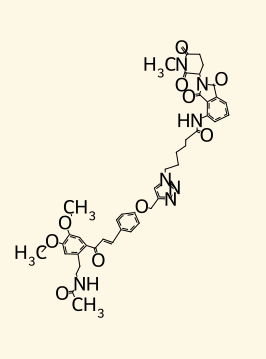 CCOc1cc(C(=O)/C=C/c2ccc(OCc3cn(CCCCCC(=O)Nc4cccc5c4C(=O)N(C4CCC(=O)N(C)C4=O)C5=O)nn3)cc2)c(CCNC(C)=O)cc1OC